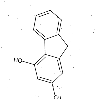 Cc1cc(O)c2c(c1)Cc1ccccc1-2